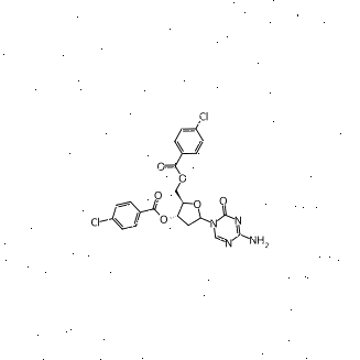 Nc1ncn(C2C[C@H](OC(=O)c3ccc(Cl)cc3)[C@@H](COC(=O)c3ccc(Cl)cc3)O2)c(=O)n1